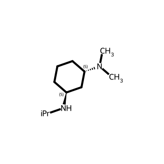 CC(C)N[C@H]1CCC[C@H](N(C)C)C1